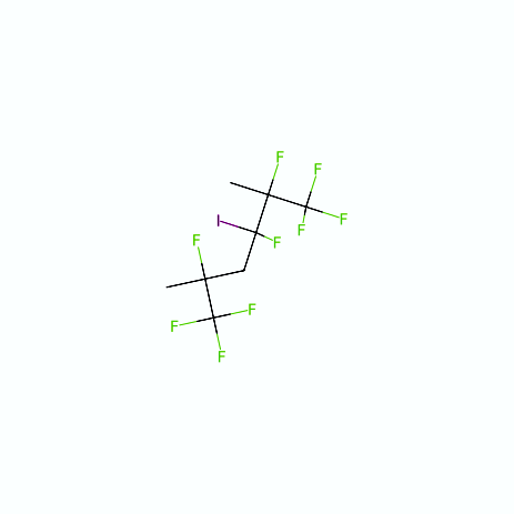 CC(F)(CC(F)(I)C(C)(F)C(F)(F)F)C(F)(F)F